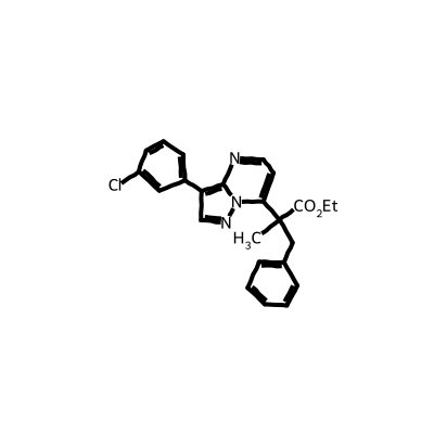 CCOC(=O)C(C)(Cc1ccccc1)c1ccnc2c(-c3cccc(Cl)c3)cnn12